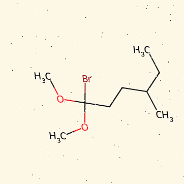 CCC(C)CCC(Br)(OC)OC